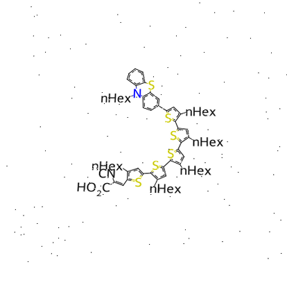 [C-]#[N+]/C(=C\c1sc(-c2sc(-c3sc(-c4sc(-c5sc(-c6ccc7c(c6)Sc6ccccc6N7CCCCCC)cc5CCCCCC)cc4CCCCCC)cc3CCCCCC)cc2CCCCCC)cc1CCCCCC)C(=O)O